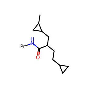 CC(C)NC(=O)C(CCC1CC1)CC1CC1C